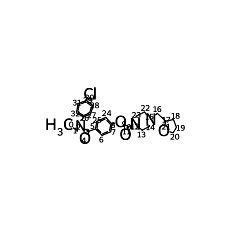 CCN(C(=O)c1ccc(OC(=O)N2CCN(CC3CCCO3)CC2)cc1)c1ccc(Cl)cc1